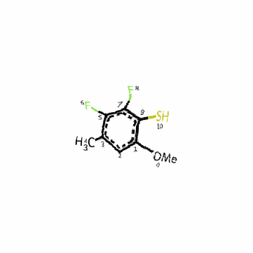 COc1cc(C)c(F)c(F)c1S